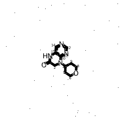 O=C1CN(C2CCOCC2)c2ncncc2N1